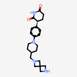 O=C1CC[C@@H](c2ccc(N3CCC(CN4CC5(CNC5)C4)CC3)cc2)C(=O)N1